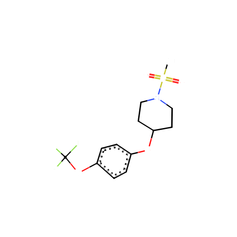 CS(=O)(=O)N1CCC(Oc2ccc(OC(F)(F)F)cc2)CC1